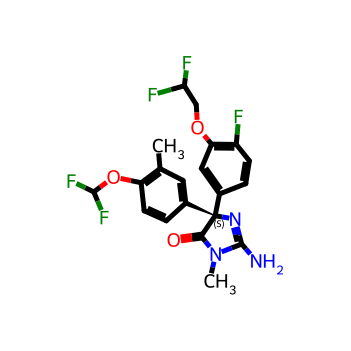 Cc1cc([C@@]2(c3ccc(F)c(OCC(F)F)c3)N=C(N)N(C)C2=O)ccc1OC(F)F